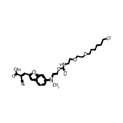 CN(CCOC(=O)NCCOCCOCCCCCCCl)c1ccc2cc(/C=C(\C#N)C(=O)O)oc2c1